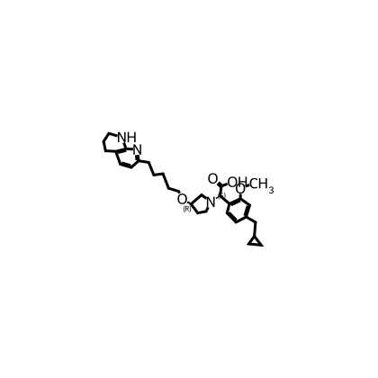 COc1cc(CC2CC2)ccc1[C@@H](C(=O)O)N1CC[C@@H](OCCCCCc2ccc3c(n2)NCCC3)C1